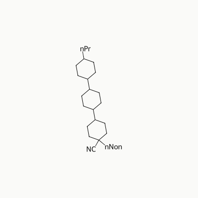 CCCCCCCCCC1(C#N)CCC(C2CCC(C3CCC(CCC)CC3)CC2)CC1